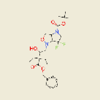 CCC(CC)(C(=O)OCc1ccccc1)C(O)CN1OCC2C1C(F)(F)CN2C(=O)OC(C)(C)C